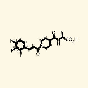 CC(NC(=O)C1CCN(C(=O)C=Cc2ccc(F)c(F)c2F)CC1)C(=O)O